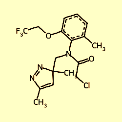 CC1=CC(C)(CN(C(=O)CCl)c2c(C)cccc2OCC(F)(F)F)N=N1